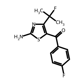 CC(C)(F)c1nc(N)sc1C(=O)c1ccc(F)cc1